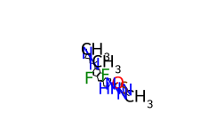 Cc1nsc(NC(=O)N2CCC(=Cc3c(F)cc(N(C)CC4CN(C)C4)cc3F)CC2)n1